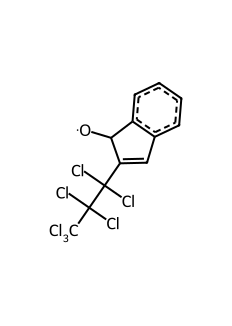 [O]C1C(C(Cl)(Cl)C(Cl)(Cl)C(Cl)(Cl)Cl)=Cc2ccccc21